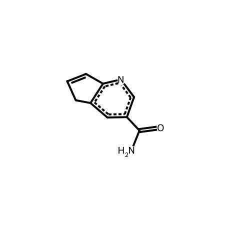 NC(=O)c1cnc2c(c1)CC=C2